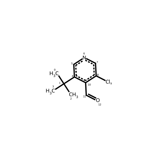 CC(C)(C)c1cncc(Cl)c1C=O